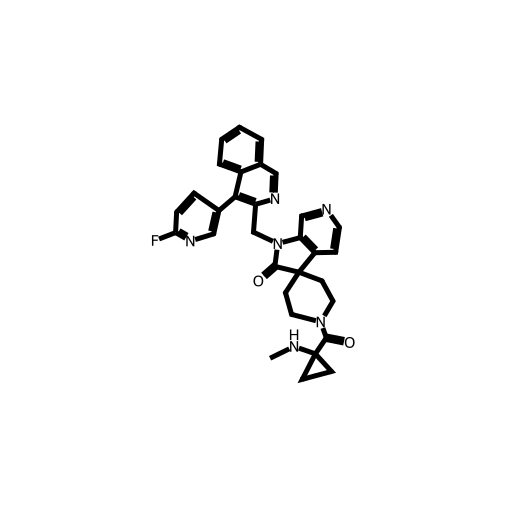 CNC1(C(=O)N2CCC3(CC2)C(=O)N(Cc2ncc4ccccc4c2-c2ccc(F)nc2)c2cnccc23)CC1